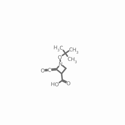 CC(C)(C)ON1CC(C(=O)O)C1=C=O